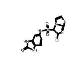 O=c1[nH]c2ccc(NS(=O)(=O)C3C(Cl)N=C4SC=CN43)cc2[nH]1